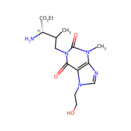 CCOC(=O)[C@@H](N)C(C)Cn1c(=O)c2c(ncn2CCO)n(C)c1=O